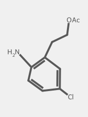 CC(=O)OCCc1cc(Cl)ccc1N